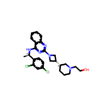 C[C@@H](Nc1nc(N2CC([C@H]3CCCN(CCO)C3)C2)nc2ccccc12)c1ccc(Cl)cc1Cl